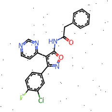 O=C(Cc1ccccc1)Nc1onc(-c2ccc(F)c(Cl)c2)c1-c1ccncn1